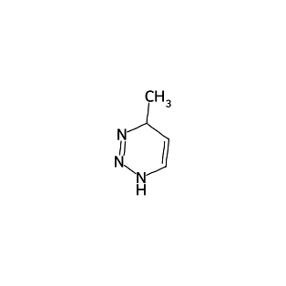 CC1C=CNN=N1